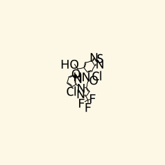 O=C(O)c1cc2nsnc2c(Cl)c1NC(=O)c1cc(C(F)(F)F)nn1-c1ncccc1Cl